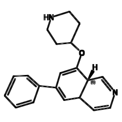 C1=CC2C=C(c3ccccc3)C=C(OC3CCNCC3)[C@@H]2C=N1